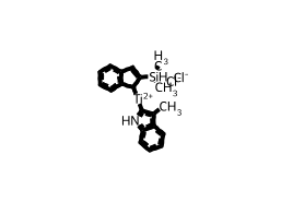 Cc1[c]([Ti+2][CH]2C([SiH](C)C)=Cc3ccccc32)[nH]c2ccccc12.[Cl-].[Cl-]